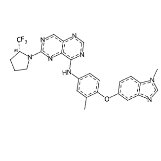 Cc1cc(Nc2ncnc3cnc(N4CCC[C@@H]4C(F)(F)F)nc23)ccc1Oc1ccc2c(c1)ncn2C